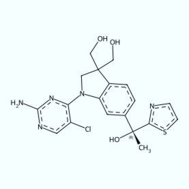 C[C@@](O)(c1ccc2c(c1)N(c1nc(N)ncc1Cl)CC2(CO)CO)c1nccs1